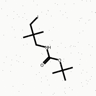 CC(C)(CI)CNC(=O)OC(C)(C)C